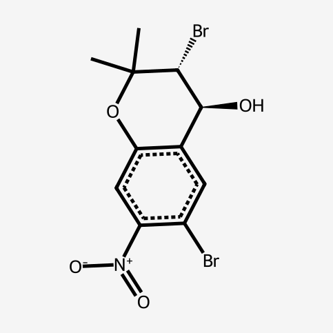 CC1(C)Oc2cc([N+](=O)[O-])c(Br)cc2[C@H](O)[C@H]1Br